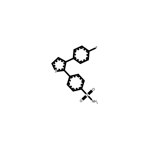 NS(=O)(=O)c1ccc(-c2sccc2-c2ccc(F)cc2)cc1